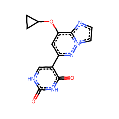 O=c1[nH]cc(-c2cc(OC3CC3)c3nccn3n2)c(=O)[nH]1